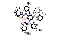 CC(C)(C)c1ccc(N2c3cc(N4c5ccccc5C5(C)CCCCC45C)cc4c3B(c3oc5ccc(C(C)(C)C)cc5c32)c2sc3ccc(C(C)(C)C)cc3c2N4c2ccc(C(C)(C)C)cc2)cc1